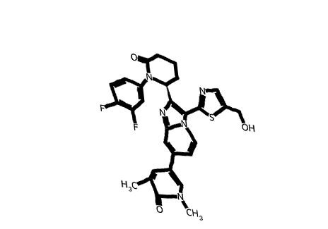 Cc1cc(-c2ccn3c(-c4ncc(CO)s4)c([C@@H]4CCCC(=O)N4c4ccc(F)c(F)c4)nc3c2)cn(C)c1=O